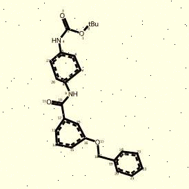 CC(C)(C)OC(=O)Nc1ccc(NC(=O)c2cccc(OCc3ccccc3)c2)cc1